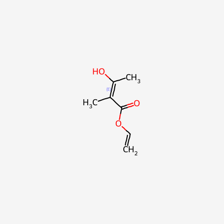 C=COC(=O)/C(C)=C(\C)O